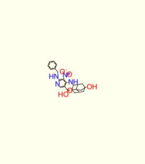 O=C(O)c1cnc(NCc2ccccc2)c([N+](=O)[O-])c1NC1C2CC3CC1CC(O)(C3)C2